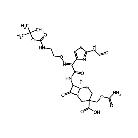 CC(C)(C)OC(=O)NCCON=C(C(=O)NC1C(=O)N2CC(COC(N)=O)(C(=O)O)CS[C@H]12)c1csc(NC=O)n1